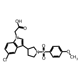 COc1ccc(S(=O)(=O)N2CCC(c3cn(CC(=O)O)c4ccc(Cl)cc34)C2)cc1